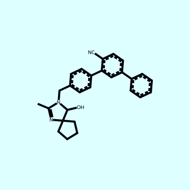 CC1=NC2(CCCC2)C(O)N1Cc1ccc(-c2cc(-c3ccccc3)ccc2C#N)cc1